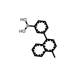 Cc1ccc(-c2cccc(B(O)O)c2)c2ccccc12